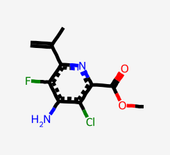 C=C(C)c1nc(C(=O)OC)c(Cl)c(N)c1F